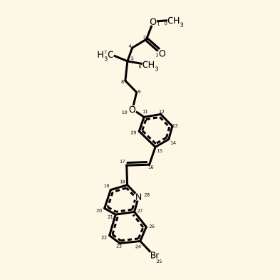 COC(=O)CC(C)(C)CCOc1cccc(C=Cc2ccc3ccc(Br)cc3n2)c1